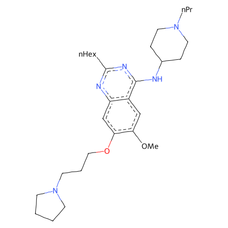 CCCCCCc1nc(NC2CCN(CCC)CC2)c2cc(OC)c(OCCCN3CCCC3)cc2n1